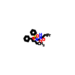 C=CC(CCc1ccccc1)N(C(=O)NC(=O)CC(C)C)S(=O)(=O)c1ccccc1